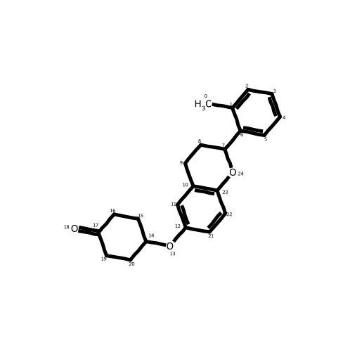 Cc1ccccc1C1CCc2cc(OC3CCC(=O)CC3)ccc2O1